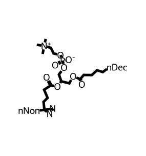 CCCCCCCCCCCCCCC(=O)OCC(COP(=O)([O-])OCC[N+](C)(C)C)OC(=O)CCCC1(CCCCCCCCC)N=N1